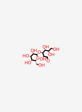 O=C[C@@H](O)[C@@H](O[C@H]1O[C@H](CO)[C@@H](O)[C@H](O)[C@@H]1O)[C@H](O)[C@H](O)CO